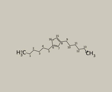 CCCCCCC1=CC(CCCCCC)=C[CH]1